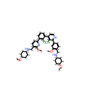 COc1cc(-c2nccc(-c3cccc(-c4ccc(CN[C@H]5CC[C@@H](OC)CC5)c(OC)n4)c3Cl)c2Cl)ccc1CN[C@H]1CC[C@H](OC)CC1